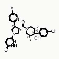 C[C@@H]1CN(C(=O)[C@@H]2CN(c3ccc(=O)[nH]n3)C[C@H]2c2ccc(F)cn2)C[C@H](C)[C@@]1(O)c1ccc(Cl)cc1